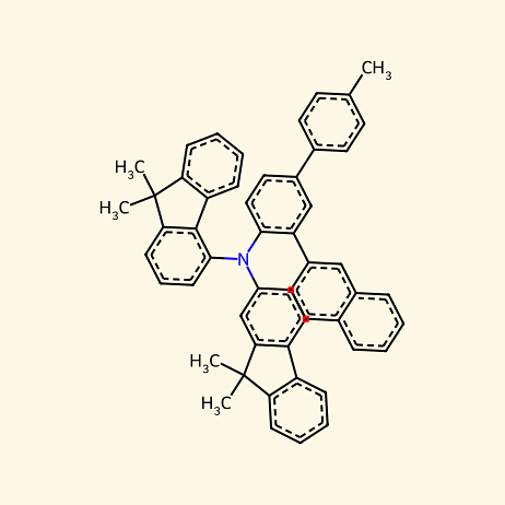 Cc1ccc(-c2ccc(N(c3ccc4c(c3)C(C)(C)c3ccccc3-4)c3cccc4c3-c3ccccc3C4(C)C)c(-c3ccc4ccccc4c3)c2)cc1